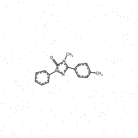 Cc1ccc(-c2nn(-c3ccccc3)c(=O)n2C)cc1